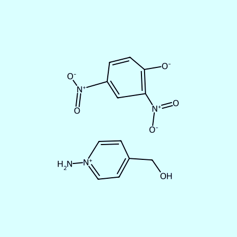 N[n+]1ccc(CO)cc1.O=[N+]([O-])c1ccc([O-])c([N+](=O)[O-])c1